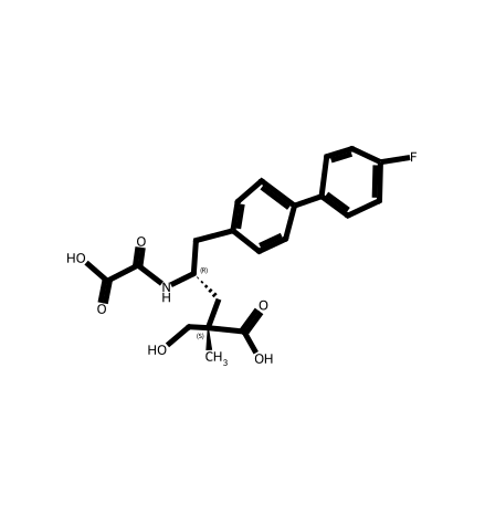 C[C@@](CO)(C[C@@H](Cc1ccc(-c2ccc(F)cc2)cc1)NC(=O)C(=O)O)C(=O)O